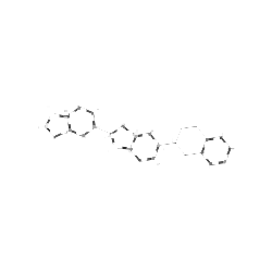 c1ccc2c(c1)CCC(c1ccc3sc(-c4ccc5occc5c4)cc3c1)C2